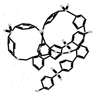 O=S1(=O)c2ccc(cc2)OCc2cccc(-c3ccc(S(=O)(=O)c4ccc(O)cc4)cc3)c2COCc2ccccc2C2(OCc3c(cccc3-c3ccc(S(=O)(=O)c4ccc(O)cc4)cc3)COc3ccc(cc3)S(=O)(=O)c3ccc(cc3)O2)Oc2ccc1cc2